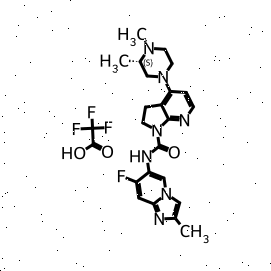 Cc1cn2cc(NC(=O)N3CCc4c(N5CCN(C)[C@@H](C)C5)ccnc43)c(F)cc2n1.O=C(O)C(F)(F)F